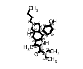 CCCCN1CC[C@@]2(c3cccc(O)c3)Cc3[nH]c(C(=O)N(CC)CC)c(C)c3C[C@@H]2C1